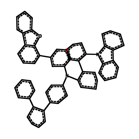 c1ccc(-c2ccccc2-c2ccc(N(c3cccc(-c4cccc5c4oc4ccccc45)c3)c3ccccc3-c3ccccc3-n3c4ccccc4c4ccccc43)cc2)cc1